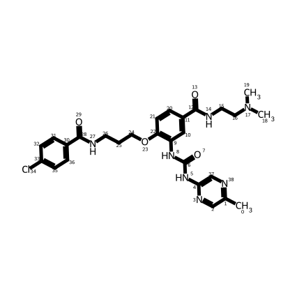 Cc1cnc(NC(=O)Nc2cc(C(=O)NCCN(C)C)ccc2OCCCNC(=O)c2ccc(Cl)cc2)cn1